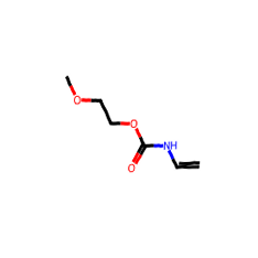 C=CNC(=O)OCCOC